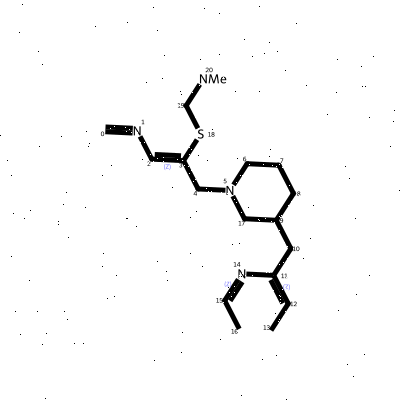 C=N/C=C(/CN1CCCC(CC(=C/C)/N=C\C)C1)SCNC